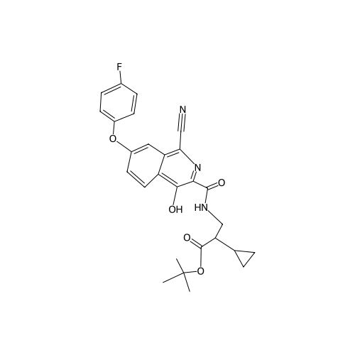 CC(C)(C)OC(=O)C(CNC(=O)c1nc(C#N)c2cc(Oc3ccc(F)cc3)ccc2c1O)C1CC1